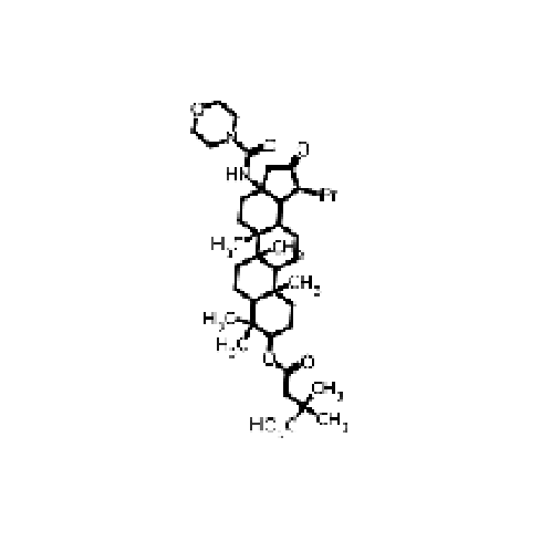 CC(C)C1C(=O)CC2(NC(=O)N3CCOCC3)CC[C@]3(C)C(CCC4C5(C)CCC(OC(=O)CC(C)(C)C(=O)O)C(C)(C)C5CCC43C)C12